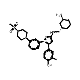 CS(=O)(=O)N1CCN(c2cccc(-n3nc(NC[C@H]4CCC[C@H](N)C4)cc3-c3ccc(C#N)c(F)c3)c2)CC1